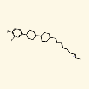 F/C=C/CCCCCCC1CCC(C2CCC(c3ccc(F)c(F)c3)CC2)CC1